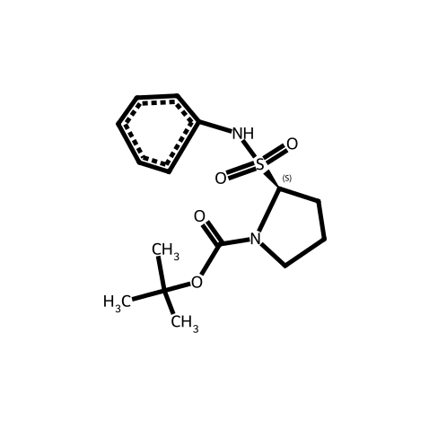 CC(C)(C)OC(=O)N1CCC[C@@H]1S(=O)(=O)Nc1ccccc1